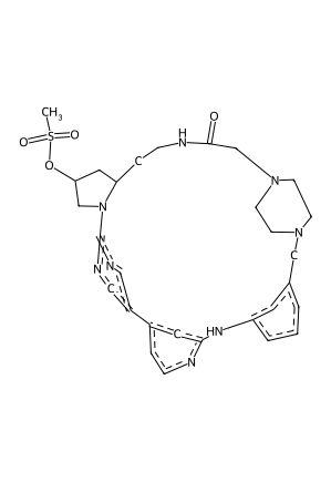 CS(=O)(=O)OC1CC2CCNC(=O)CN3CCN(CC3)Cc3cccc(c3)Nc3cc(ccn3)-c3cnc(nc3)N2C1